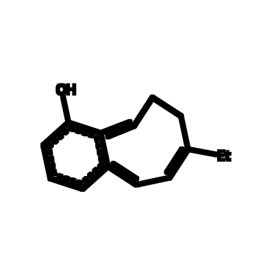 CC/C1=C/C=c2/cccc(O)/c2=C\CC1